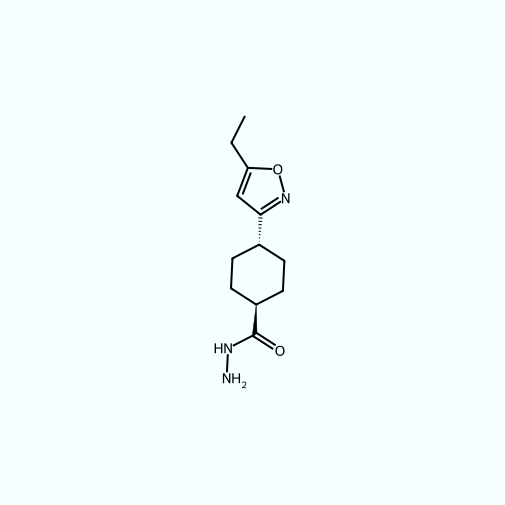 CCc1cc([C@H]2CC[C@H](C(=O)NN)CC2)no1